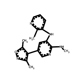 CNc1ncc(-c2c(C)noc2C)cc1Nc1cccnc1C